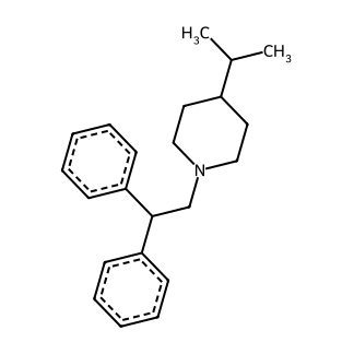 CC(C)C1CCN(CC(c2ccccc2)c2ccccc2)CC1